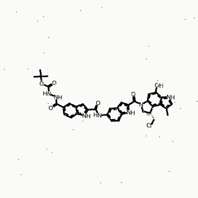 Cc1c[nH]c2c(O)cc3c(c12)[C@H](CCl)CN3C(=O)c1cc2cc(NC(=O)c3cc4cc(C(=O)NNC(=O)OC(C)(C)C)ccc4[nH]3)ccc2[nH]1